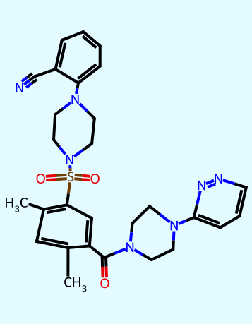 Cc1cc(C)c(S(=O)(=O)N2CCN(c3ccccc3C#N)CC2)cc1C(=O)N1CCN(c2cccnn2)CC1